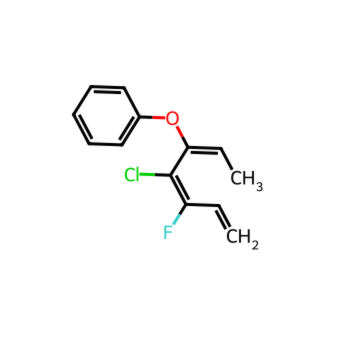 C=C/C(F)=C(Cl)\C(=C/C)Oc1ccccc1